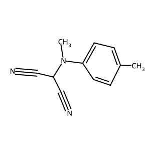 Cc1ccc(N(C)C(C#N)C#N)cc1